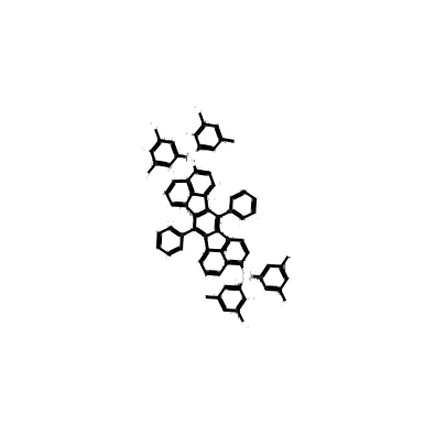 Cc1cc(C)cc(N(c2cc(C)cc(C)c2)c2ccc3c4c(-c5ccccc5)c5c6ccc(N(c7cc(C)cc(C)c7)c7cc(C)cc(C)c7)c7cccc(c5c(-c5ccccc5)c4c4cccc2c43)c76)c1